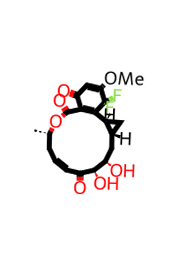 COC1=CC(=O)C2=C([C@H]3C[C@@H]3C[C@H](O)[C@H](O)C(=O)/C=C\C[C@H](C)OC2=O)C1(F)F